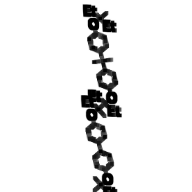 CCC(C)(C)Oc1ccc(-c2ccc(OC(C)(CC)C(CC)(CC)Oc3ccc(C(C)(C)c4ccc(OC(C)(CC)CC)cc4)cc3)cc2)cc1